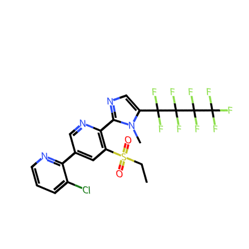 CCS(=O)(=O)c1cc(-c2ncccc2Cl)cnc1-c1ncc(C(F)(F)C(F)(F)C(F)(F)C(F)(F)F)n1C